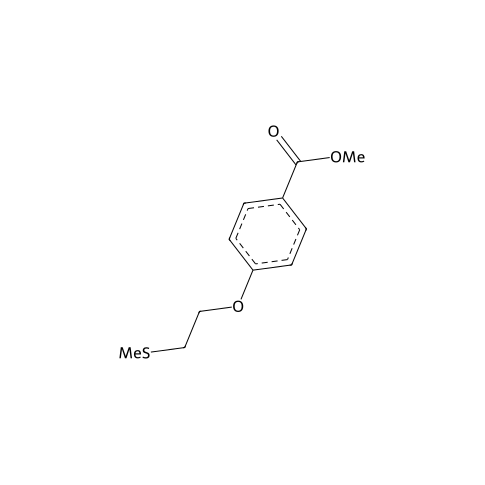 COC(=O)c1ccc(OCCSC)cc1